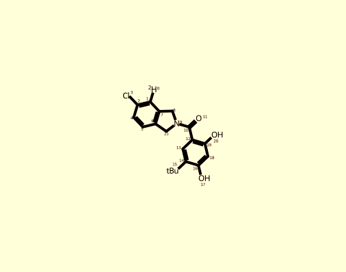 [2H]c1c(Cl)ccc2c1CN(C(=O)c1cc(C(C)(C)C)c(O)cc1O)C2